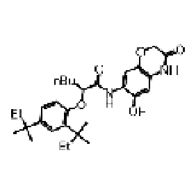 CCCCC(Oc1ccc(C(C)(C)CC)cc1C(C)(C)CC)C(=O)Nc1cc2c(cc1O)NC(=O)CO2